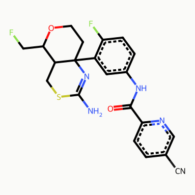 N#Cc1ccc(C(=O)Nc2ccc(F)c(C34CCOC(CF)C3CSC(N)=N4)c2)nc1